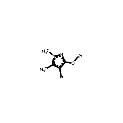 Cc1c(Br)c(OC(C)C)nn1C